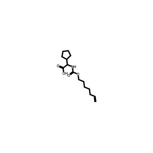 C=CCCCCCOC(=O)NC(C(=O)O)C1CCCC1